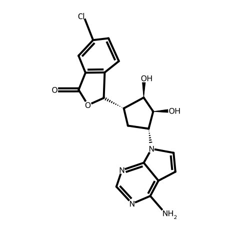 Nc1ncnc2c1ccn2[C@@H]1C[C@H](C2OC(=O)c3cc(Cl)ccc32)[C@@H](O)[C@H]1O